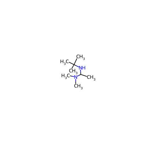 CC(NC(C)(C)C)N(C)C